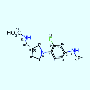 CC(C)Nc1ccc(N2CC[C@H](CNC(=O)O)C2)c(F)c1